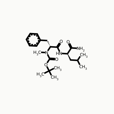 CC(C)C[C@@H](NC(=O)[C@@H](Cc1ccccc1)N(C)C(=O)OC(C)(C)C)C(N)=O